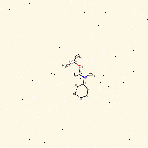 CN([SiH2]O[SiH](C)C)C1CCCCC1